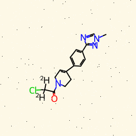 [2H]C([2H])(Cl)C(=O)N1CC=C(c2ccc(-c3ncn(C)n3)cc2)CC1